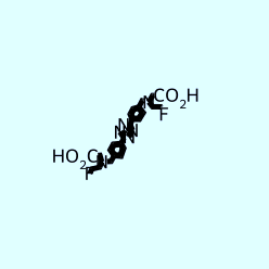 O=C(O)CN(CCF)Cc1ccc(-c2nnc(-c3ccc(CN(CCF)CC(=O)O)cc3)nn2)cc1